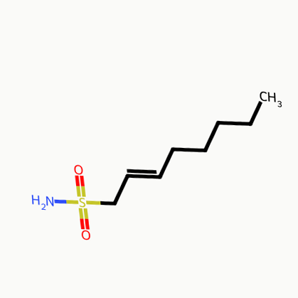 CCCCCC=CCS(N)(=O)=O